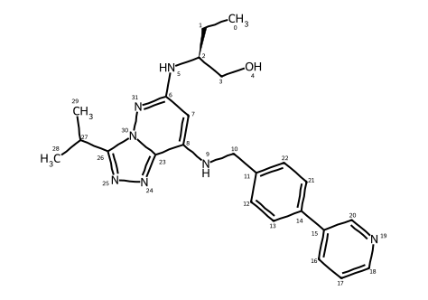 CC[C@@H](CO)Nc1cc(NCc2ccc(-c3cccnc3)cc2)c2nnc(C(C)C)n2n1